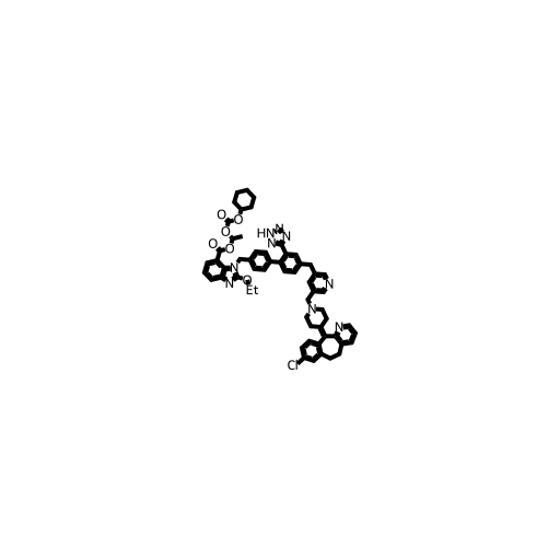 CCOc1nc2cccc(C(=O)OC(C)OC(=O)OC3CCCCC3)c2n1Cc1ccc(-c2ccc(Cc3cncc(CN4CCC(=C5c6ccc(Cl)cc6CCc6cccnc65)CC4)c3)cc2-c2nn[nH]n2)cc1